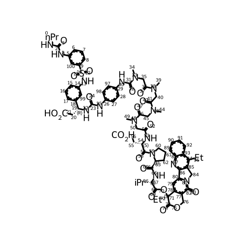 CCCNC(=O)Nc1cccc(S(=O)(=O)Nc2cccc([C@@H](CC(=O)O)NC(=O)Nc3ccc(NC(=O)N(C)CC(=O)N(C)CC(=O)N(C)CC(=O)N(C)CC(=O)N[C@@H](CC(=O)O)C(=O)N4CCC[C@H]4C(=O)N[C@H](C(=O)O[C@]4(CC)C(=O)OCc5c4cc4n(c5=O)Cc5c-4nc4ccccc4c5CC)C(C)C)cc3)c2)c1